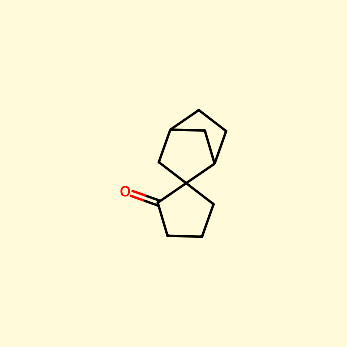 O=C1CCCC12CC1CCC2C1